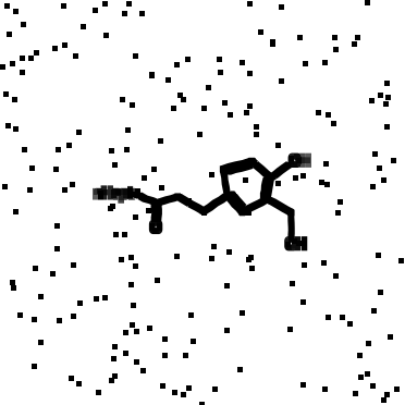 CCCCCCCC(=O)CCc1ccc(O)c(CO)c1